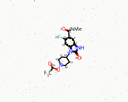 CNC(=O)c1cc2[nH]c(=O)n(C3CCN(OC(=O)C(F)(F)F)CC3)c2cc1F